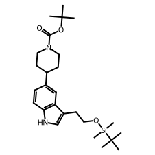 CC(C)(C)OC(=O)N1CCC(c2ccc3[nH]cc(CCO[Si](C)(C)C(C)(C)C)c3c2)CC1